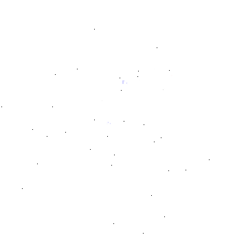 CC1=C(C(=O)O)C(c2cccc(Cl)c2)C(C(=O)NCC=Cc2ccccc2)=C(C)N1